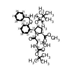 COC(=O)[C@@H]1C[C@@H](O[Si](C)(C)C(C)(C)C)[C@H](c2ccccc2OCc2ccccc2)N1C(=O)[C@H](CO)NC(=O)OC(C)(C)C